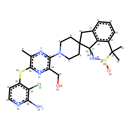 Cc1nc(N2CCC3(CC2)Cc2cccc4c2[C@H]3N[S@+]([O-])C4(C)C)c(CO)nc1Sc1ccnc(N)c1Cl